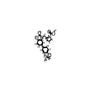 COC(=O)N1CCC[C@H]1Cn1c(=O)oc2ccc(-c3ccc(OC(F)(F)F)cc3)cc21